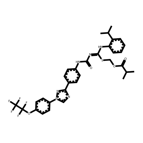 CC(C)C(=O)OCS/C(=N\C(=O)Nc1ccc(-c2ncn(-c3ccc(OC(F)(F)C(F)(F)F)cc3)n2)cc1)Nc1ccccc1C(C)C